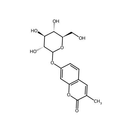 Cc1cc2ccc(OC3O[C@H](CO)[C@@H](O)[C@H](O)[C@H]3O)cc2oc1=O